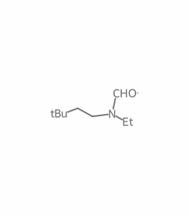 CCN([C]=O)CCC(C)(C)C